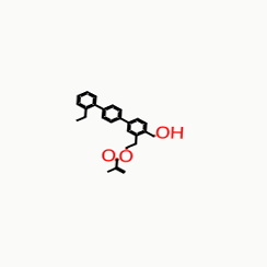 C=C(C)C(=O)OCCc1cc(-c2ccc(-c3ccccc3CC)cc2)ccc1CO